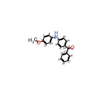 COc1ccc(Nc2ccc(C(=O)c3ccccc3)cc2)cc1